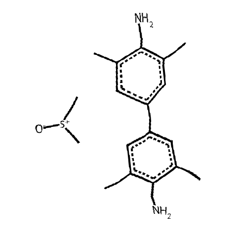 C[S+](C)[O-].Cc1cc(-c2cc(C)c(N)c(C)c2)cc(C)c1N